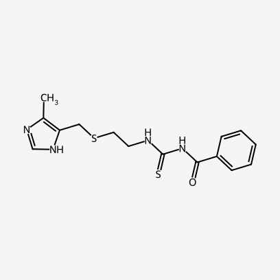 Cc1nc[nH]c1CSCCNC(=S)NC(=O)c1ccccc1